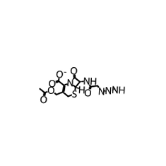 CC(=O)OCC1=C(C(=O)[O-])N2C(=O)[C@@H](NC(=O)CN=[N+]=N)[C@@H]2SC1